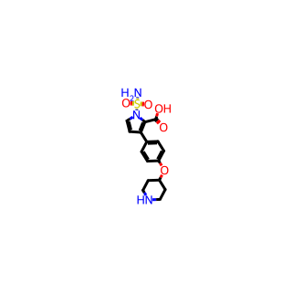 NS(=O)(=O)n1ccc(-c2ccc(OC3CCNCC3)cc2)c1C(=O)O